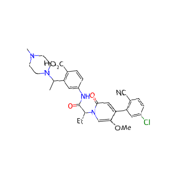 CCC(C(=O)Nc1ccc(C(=O)O)c(C(C)N2CCN(C)CC2)c1)n1cc(OC)c(-c2cc(Cl)ccc2C#N)cc1=O